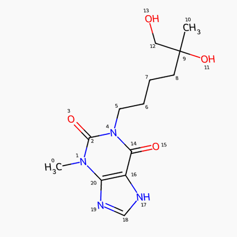 Cn1c(=O)n(CCCCC(C)(O)CO)c(=O)c2[nH]cnc21